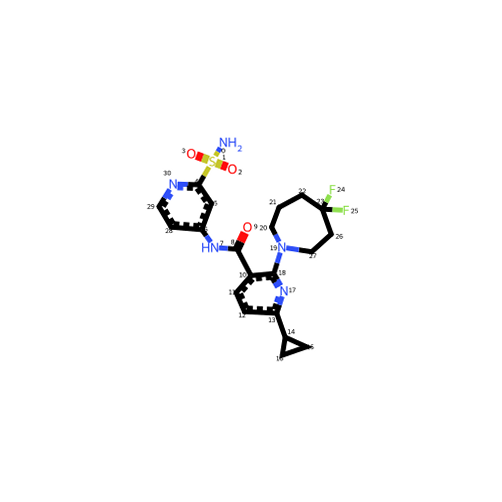 NS(=O)(=O)c1cc(NC(=O)c2ccc(C3CC3)nc2N2CCCC(F)(F)CC2)ccn1